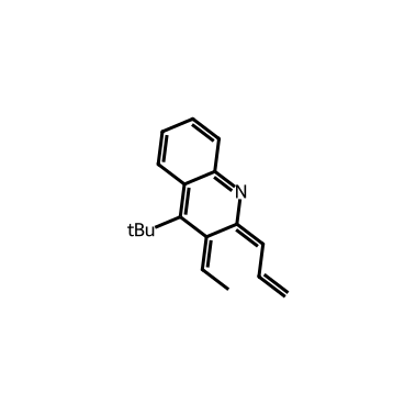 C=C/C=c1/nc2ccccc2c(C(C)(C)C)/c1=C/C